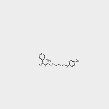 Cc1c(COCCCCOc2ccc(C#N)cc2)[nH]c2ccccc2c1=O